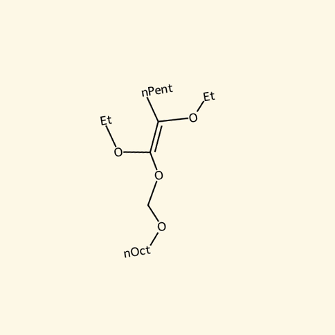 CCCCCCCCOCO/C(OCC)=C(/CCCCC)OCC